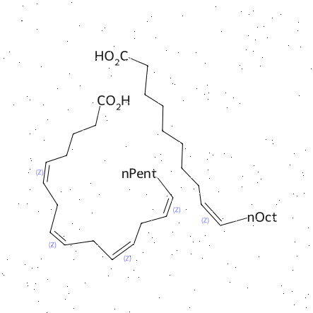 CCCCC/C=C\C/C=C\C/C=C\C/C=C\CCCC(=O)O.CCCCCCCC/C=C\CCCCCCCC(=O)O